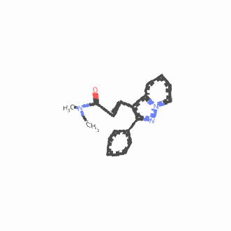 CN(C)C(=O)C=Cc1c(-c2ccccc2)nn2ccccc12